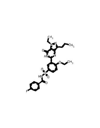 CCCc1nn(CC)c2c(=O)[nH]c(-c3cc(S(=O)(=O)NC(=O)c4ccc(F)cc4)ccc3OCC)nc12